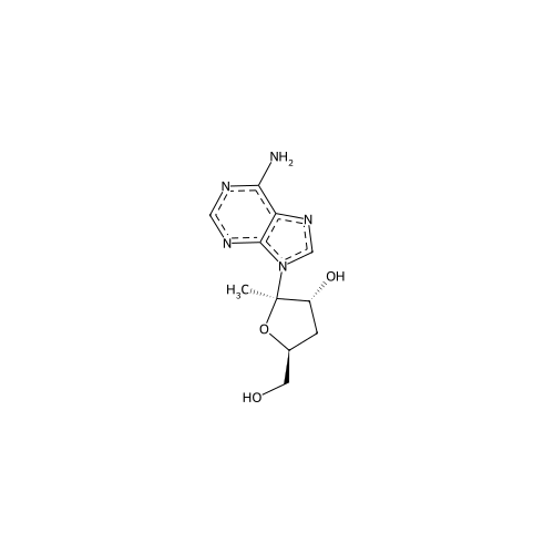 C[C@@]1(n2cnc3c(N)ncnc32)O[C@H](CO)C[C@H]1O